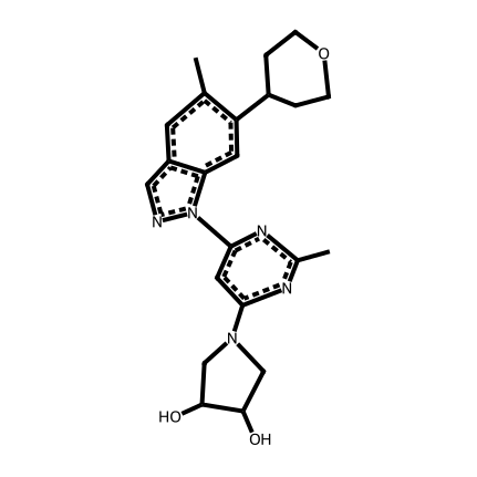 Cc1nc(N2CC(O)C(O)C2)cc(-n2ncc3cc(C)c(C4CCOCC4)cc32)n1